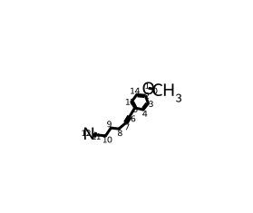 COc1ccc(C#CCCCC#N)cc1